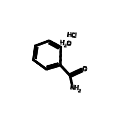 Cl.NC(=O)c1ccccc1.O